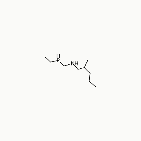 CCCC(C)CNCPCC